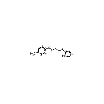 Cc1ccc(SOCCCc2ccc[nH]2)cc1